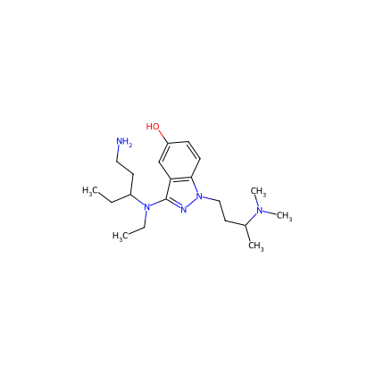 CCC(CCN)N(CC)c1nn(CCC(C)N(C)C)c2ccc(O)cc12